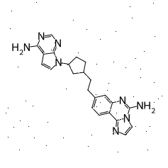 Nc1ncnc2c1ccn2C1CCC(CCc2ccc3c(c2)nc(N)n2ccnc32)C1